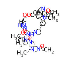 C=CC(=O)N1CCN(CCC)C2(CCN(C(=O)N(C)[C@H](C(=O)N[C@H]3CN4CCC=C(C4)c4ccc5c(c4)c(c(-c4cccnc4[C@H](C)OC)n5CC)CC(C)(C)COC(=O)C[C@@H]4CCCN(N4)C3=O)C(C)C)CC2)C1